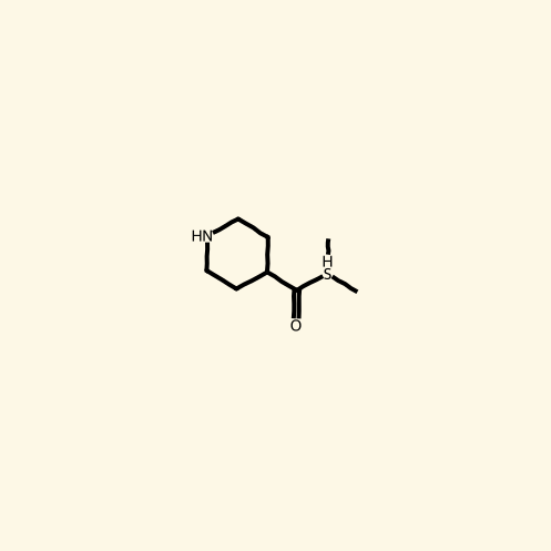 C[SH](C)C(=O)C1CCNCC1